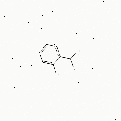 CCc1ccccc1C(N)N